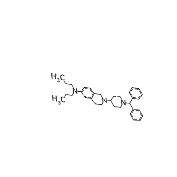 CCCN(CCC)c1ccc2c(c1)CCN(C1CCN(C(c3ccccc3)c3ccccc3)CC1)C2